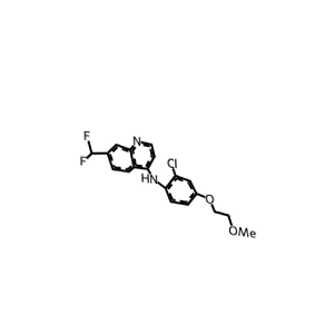 COCCOc1ccc(Nc2ccnc3cc(C(F)F)ccc23)c(Cl)c1